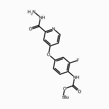 CC(C)(C)OC(=O)Nc1ccc(Oc2ccnc(C(=O)NN)c2)cc1F